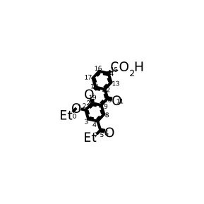 CCOc1cc(C(=O)CC)cc2c(=O)c3cc(C(=O)O)ccc3oc12